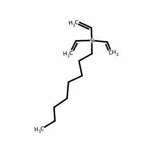 C=C[Si](C=C)(C=C)CCCCCCCC